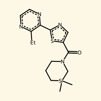 CCc1nccnc1-c1ncc(C(=O)N2CCC[Si](C)(C)C2)s1